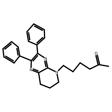 CC(=O)CCCCN1CCCc2nc(-c3ccccc3)c(-c3ccccc3)nc21